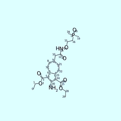 CCOC(=O)c1c2ccc(CC(=O)NOCCP(C)(C)=O)ccc-2c(C(=O)OCC)c1N